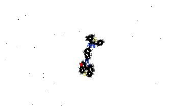 c1ccc(-c2nc(-c3ccc4cc(-n5c6ccc7cccc8sc9cccc%10ccc5c(c%109)c6c78)ccc4c3)nc3c2sc2ccccc23)cc1